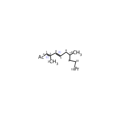 CC(=O)/C=C(C)/C=C/CC(C)CCC(C)C